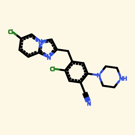 N#Cc1cc(Cl)c(Cc2cn3cc(Cl)ccc3n2)cc1N1CCNCC1